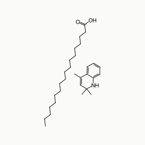 CC1=CC(C)(C)Nc2ccccc21.CCCCCCCCCCCCCCCCCC(=O)O